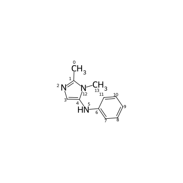 Cc1ncc(Nc2ccccc2)n1C